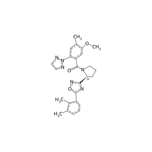 COc1cc(C(=O)N2CCC[C@H]2c2noc(-c3cccc(C)c3C)n2)c(-n2nccn2)cc1C